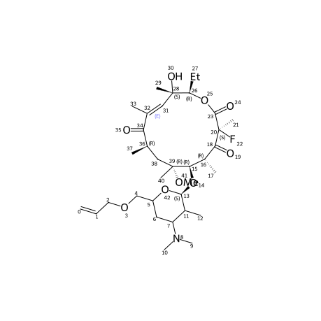 C=CCOCC1CC(N(C)C)C(C)[C@H](O[C@@H]2[C@@H](C)C(=O)[C@](C)(F)C(=O)O[C@H](CC)[C@@](C)(O)/C=C(\C)C(=O)[C@H](C)C[C@@]2(C)OC)O1